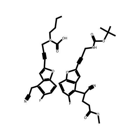 CCCCN(CC#Cc1cc2c(CC#N)c(F)ccc2o1)C(=O)O.COC(=O)CCC(C#N)c1c(F)ccc2oc(C#CCNC(=O)OC(C)(C)C)cc12